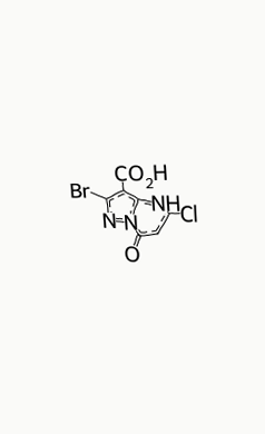 O=C(O)c1c(Br)nn2c(=O)cc(Cl)[nH]c12